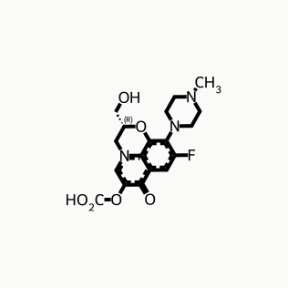 CN1CCN(c2c(F)cc3c(=O)c(OC(=O)O)cn4c3c2O[C@@H](CO)C4)CC1